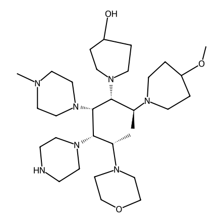 COC1CCN([C@@H](C)[C@H]([C@H]([C@H]([C@H](C)N2CCOCC2)N2CCNCC2)N2CCN(C)CC2)N2CCC(O)CC2)CC1